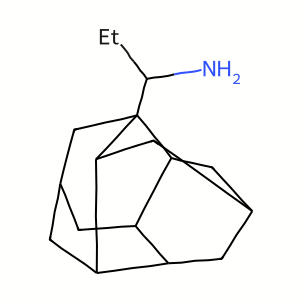 CCC(N)C12CC3CC4C5CC(CC41)CC2C5C3